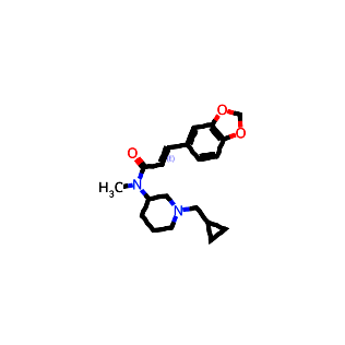 CN(C(=O)/C=C/c1ccc2c(c1)OCO2)C1CCCN(CC2CC2)C1